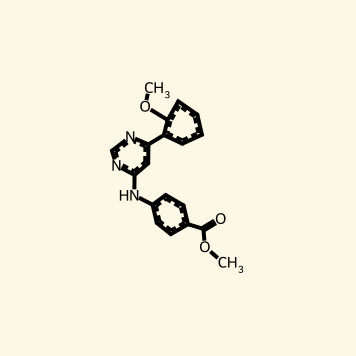 COC(=O)c1ccc(Nc2cc(-c3ccccc3OC)ncn2)cc1